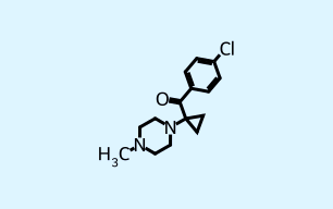 CN1CCN(C2(C(=O)c3ccc(Cl)cc3)CC2)CC1